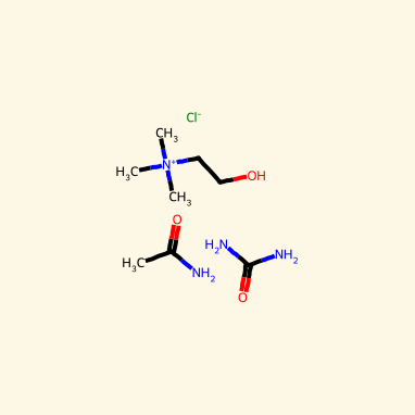 CC(N)=O.C[N+](C)(C)CCO.NC(N)=O.[Cl-]